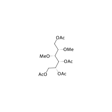 CO[C@@H]([C@H](OC(C)=O)[C@@H](COC(C)=O)OC(C)=O)[C@H](COC(C)=O)OC